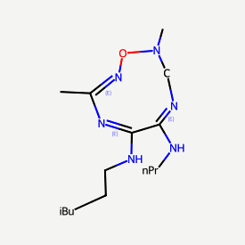 CCCNC1=N/CN(C)O/N=C(C)/N=C\1NCCC(C)CC